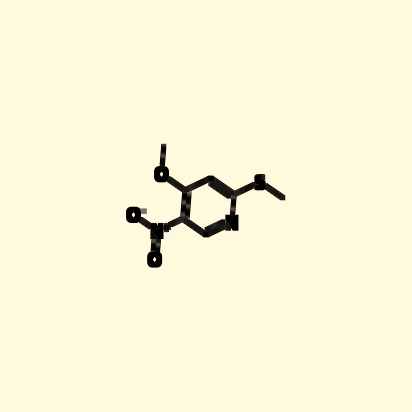 COc1cc(SC)ncc1[N+](=O)[O-]